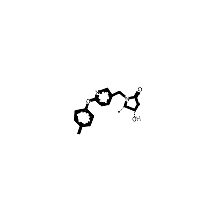 Cc1ccc(Oc2ccc(CN3C(=O)C[C@H](O)[C@@H]3C)cn2)cc1